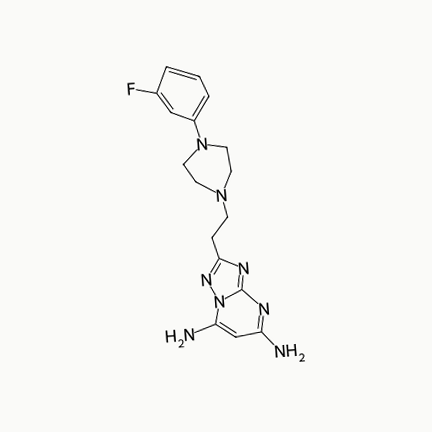 Nc1cc(N)n2nc(CCN3CCN(c4cccc(F)c4)CC3)nc2n1